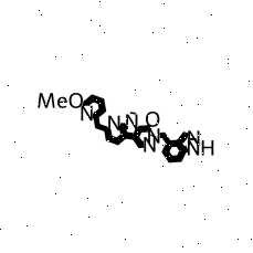 COc1cccc(Cc2ccc3c4cnn(Cc5cccc6[nH]ncc56)c(=O)c4n(C)c3n2)n1